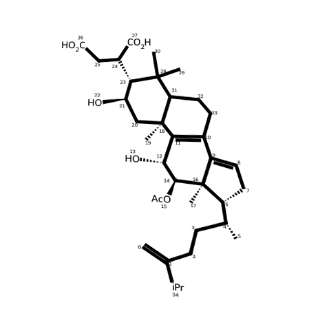 C=C(CC[C@@H](C)[C@H]1CC=C2C3=C([C@@H](O)[C@H](OC(C)=O)[C@@]21C)[C@@]1(C)C[C@@H](O)[C@H](C(CC(=O)O)C(=O)O)C(C)(C)C1CC3)C(C)C